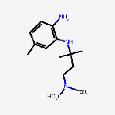 Cc1ccc(N)c(NC(C)(C)CCN(C(=O)O)C(C)(C)C)c1